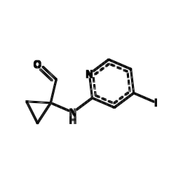 O=CC1(Nc2cc(I)ccn2)CC1